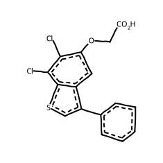 O=C(O)COc1cc2c(-c3ccccc3)csc2c(Cl)c1Cl